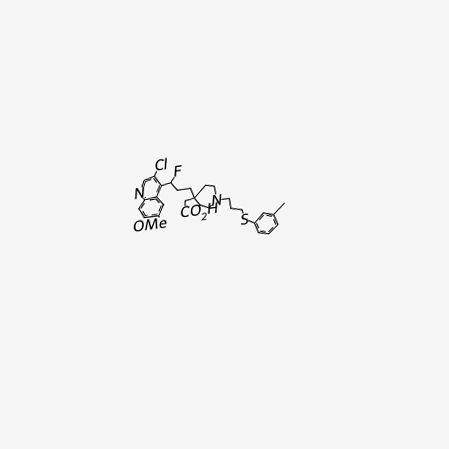 COc1ccc2ncc(Cl)c(C(F)CCC3(CC(=O)O)CCN(CCCSc4cccc(C)c4)CC3)c2c1